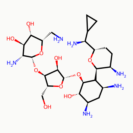 NC[C@@H]1O[C@H](O[C@H]2[C@@H](O)[C@H](O[C@H]3C([C@H]4O[C@H]([C@@H](N)C5CC5)CC[C@H]4N)[C@@H](N)C[C@@H](N)[C@@H]3O)O[C@@H]2CO)[C@H](N)[C@@H](O)[C@@H]1O